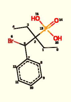 CCC(CC)(C(Br)c1ccccc1)P(=O)(O)O